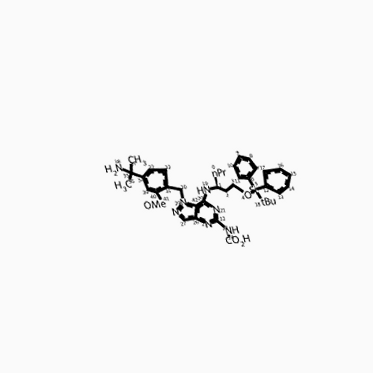 CCC[C@@H](CCO[Si](c1ccccc1)(c1ccccc1)C(C)(C)C)Nc1nc(NC(=O)O)nc2cnn(Cc3ccc(C(C)(C)N)cc3OC)c12